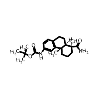 CC(C)(C)OC(=O)Nc1ccc2c(c1)[C@@]1(C)CCC[C@](C)(C(N)=O)[C@@H]1CC2